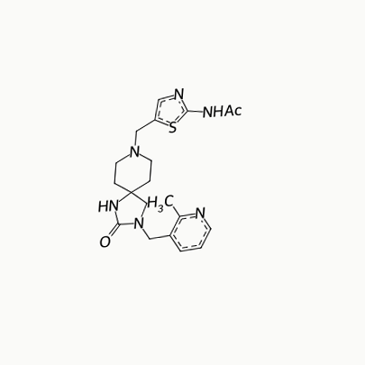 CC(=O)Nc1ncc(CN2CCC3(CC2)CN(Cc2cccnc2C)C(=O)N3)s1